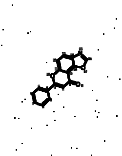 O=c1cc(-c2ccccc2)oc2ccc3ncoc3c12